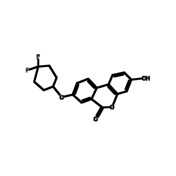 O=c1oc2cc(O)ccc2c2ccc(OC3CCC(F)(F)CC3)cc12